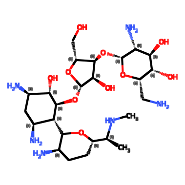 CN[C@@H](C)[C@@H]1CC[C@@H](N)C([C@H]2[C@H](O[C@@H]3O[C@H](CO)[C@@H](O[C@H]4O[C@@H](CN)[C@@H](O)[C@H](O)[C@H]4N)[C@H]3O)[C@@H](O)[C@H](N)C[C@@H]2N)O1